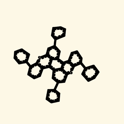 c1ccc(-c2cc3sc4c(-c5ccccc5)cccc4c4c5cc(-c6ccccc6)cc6sc7c(-c8ccccc8)cccc7c(c(c2)c34)c65)cc1